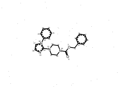 O=C(OCc1ccccc1)N1CCN(c2nccn2-c2ccccc2)CC1